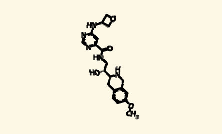 COc1ccc2c(c1)CN[C@H]([C@H](O)CNC(=O)c1cc(NC3COC3)ncn1)C2